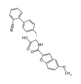 COc1ccc2oc(C(=O)N[C@@H](Cc3ccc(-c4ccccc4C#N)cc3)C(=O)O)cc2c1